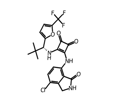 CC(C)(C)[C@@H](Nc1c(Nc2ccc(Cl)c3c2C(=O)NC3)c(=O)c1=O)c1ccc(C(F)(F)F)o1